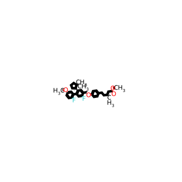 COC(=O)C[C@@H](C)CCc1ccc(OCc2cc([C@H]3CCCC3(C)C)c(-c3cc(OC)ccc3F)cc2F)cc1